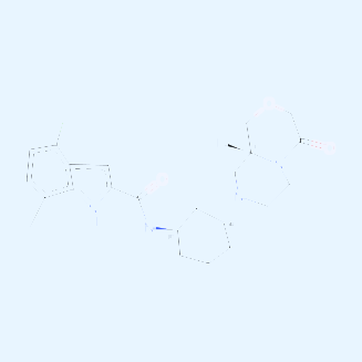 Cc1ccc(F)c2cc(C(=O)N[C@@H]3CCC[C@@H](N4CCN5C(=O)COC[C@H]5C4)C3)[nH]c12